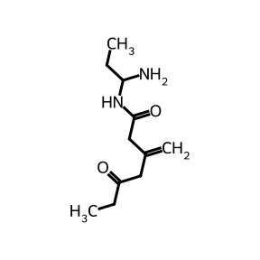 C=C(CC(=O)CC)CC(=O)NC(N)CC